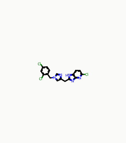 Clc1ccc(Cn2cnc(Cc3nc4nc(Cl)ccc4[nH]3)c2)c(Cl)c1